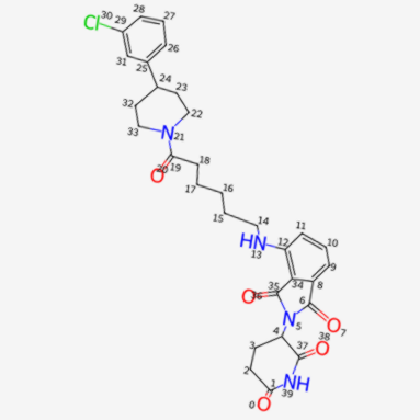 O=C1CCC(N2C(=O)c3cccc(NCCCCCC(=O)N4CCC(c5cccc(Cl)c5)CC4)c3C2=O)C(=O)N1